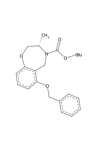 C[C@H]1COc2cccc(OCc3ccccc3)c2CN1C(=O)OC(C)(C)C